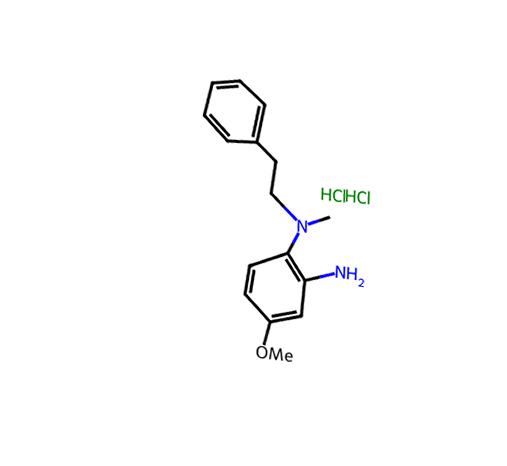 COc1ccc(N(C)CCc2ccccc2)c(N)c1.Cl.Cl